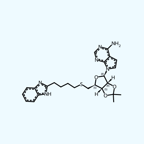 CC1(C)O[C@@H]2[C@H](O1)[C@@H](CSCCCCc1nc3ccccc3[nH]1)O[C@H]2n1ccc2c(N)ncnc21